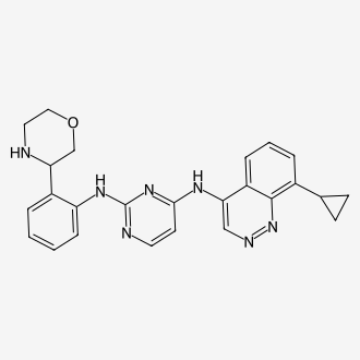 c1ccc(C2COCCN2)c(Nc2nccc(Nc3cnnc4c(C5CC5)cccc34)n2)c1